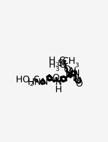 C[Si](C)(C)CCOCn1c(-c2ccc(NC(=O)Cc3cccc(N4CCC(NC(=O)O)C4)c3)cc2)cc2c(N3CCOCC3)ncnc21